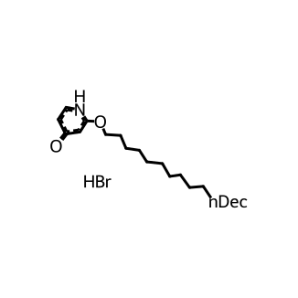 Br.CCCCCCCCCCCCCCCCCCCCOc1cc(=O)cc[nH]1